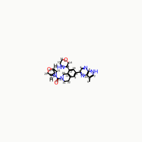 Cc1c[nH]c2ncc(-c3cc4c(c([C@@H]5COCCN5)c3)CN(C(=O)N3C[C@H]5C[C@@H]3CO5)CC4)nc12